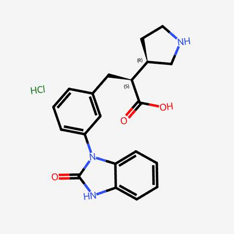 Cl.O=C(O)[C@@H](Cc1cccc(-n2c(=O)[nH]c3ccccc32)c1)[C@H]1CCNC1